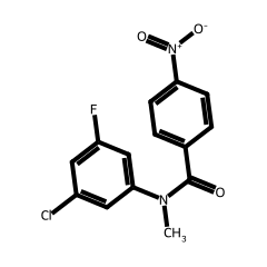 CN(C(=O)c1ccc([N+](=O)[O-])cc1)c1cc(F)cc(Cl)c1